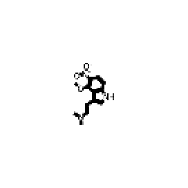 COc1c([N+](=O)[O-])ccc2[nH]cc(CCN(C)C)c12